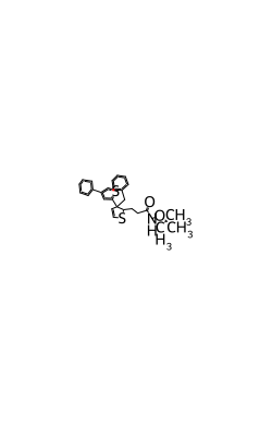 CC(C)(C)ONC(=O)CCC1SC=CC1(Cc1ccccc1)c1cc(-c2ccccc2)cs1